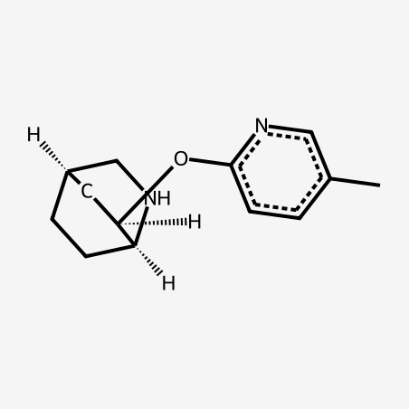 Cc1ccc(O[C@@H]2C[C@H]3CC[C@@H]2NC3)nc1